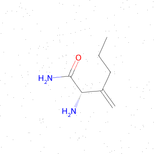 C=C(CCC)[C@H](N)C(N)=O